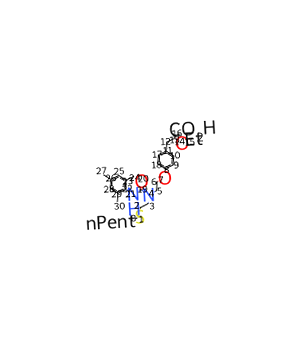 CCCCCSCCN(CCOc1ccc(CC(OCC)C(=O)O)cc1)C(=O)Nc1c(C)cc(C)cc1C